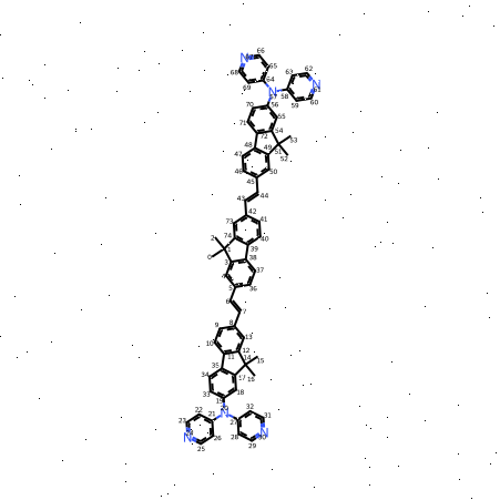 CC1(C)c2cc(/C=C/c3ccc4c(c3)C(C)(C)c3cc(N(c5ccncc5)c5ccncc5)ccc3-4)ccc2-c2ccc(/C=C/c3ccc4c(c3)C(C)(C)c3cc(N(c5ccncc5)c5ccncc5)ccc3-4)cc21